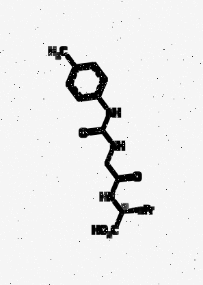 CCC[C@H](NC(=O)CNC(=O)Nc1ccc(C)cc1)C(=O)O